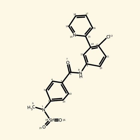 CN(c1ccc(C(=O)Nc2ccc(Cl)c(-c3ccccn3)c2)cc1)[SH](=O)=O